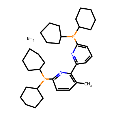 B.Cc1ccc(P(C2CCCCC2)C2CCCCC2)nc1-c1cccc(P(C2CCCCC2)C2CCCCC2)n1